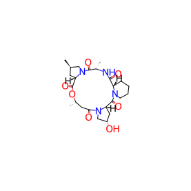 C[C@@H]1C[C@H]2C(=O)O[C@@H](C)CC(=O)N3C[C@@H](O)C[C@H]3C(=O)N3CCCC[C@H]3C(=O)N[C@@H](C)C(=O)N2C1